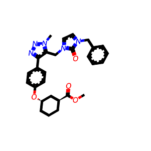 COC(=O)[C@H]1CCC[C@H](Oc2ccc(-c3nnn(C)c3Cn3ccn(Cc4ccccc4)c3=O)cc2)C1